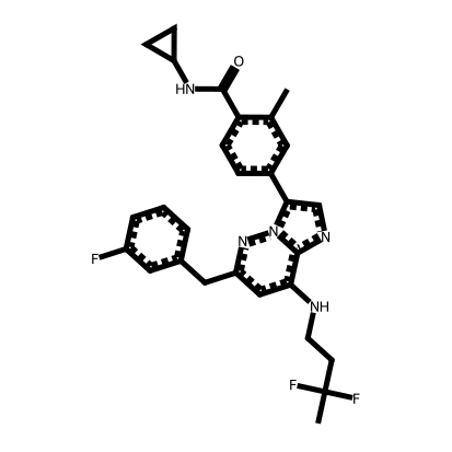 Cc1cc(-c2cnc3c(NCCC(C)(F)F)cc(Cc4cccc(F)c4)nn23)ccc1C(=O)NC1CC1